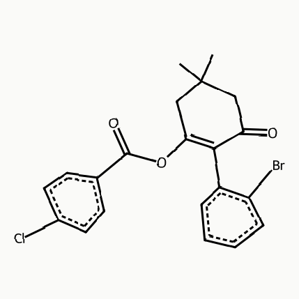 CC1(C)CC(=O)C(c2ccccc2Br)=C(OC(=O)c2ccc(Cl)cc2)C1